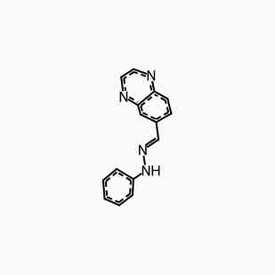 C(=NNc1ccccc1)c1ccc2nccnc2c1